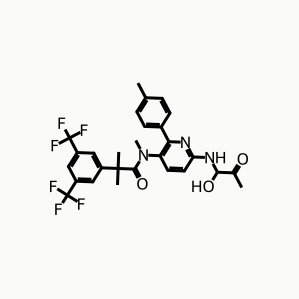 CC(=O)C(O)Nc1ccc(N(C)C(=O)C(C)(C)c2cc(C(F)(F)F)cc(C(F)(F)F)c2)c(-c2ccc(C)cc2)n1